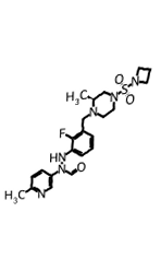 Cc1ccc(N(C=O)Nc2cccc(CN3CCN(S(=O)(=O)N4CCC4)C[C@@H]3C)c2F)cn1